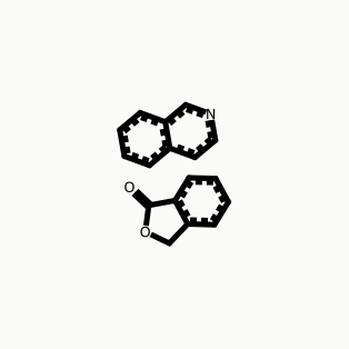 O=C1OCc2ccccc21.c1ccc2cnccc2c1